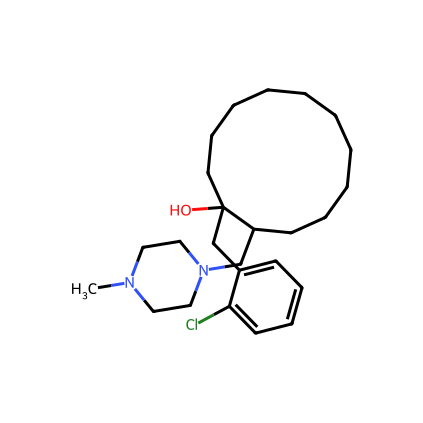 CN1CCN(CC2CCCCCCCCCCC2(O)Cc2ccccc2Cl)CC1